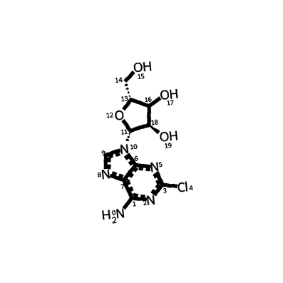 Nc1nc(Cl)nc2c1ncn2[C@@H]1O[C@H](CO)C(O)[C@H]1O